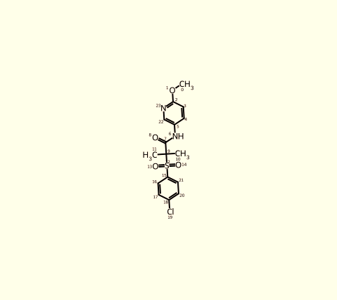 COc1ccc(NC(=O)C(C)(C)S(=O)(=O)c2ccc(Cl)cc2)cn1